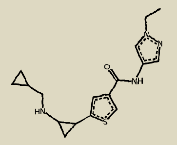 CCn1cc(NC(=O)c2csc(C3CC3NCC3CC3)c2)cn1